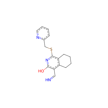 N=Cc1c(O)nc(SCc2ccccn2)c2c1CCCC2